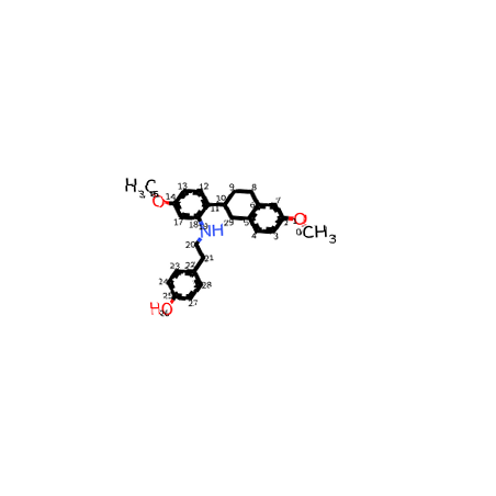 COc1ccc2c(c1)CCC(c1ccc(OC)cc1NCCc1ccc(O)cc1)C2